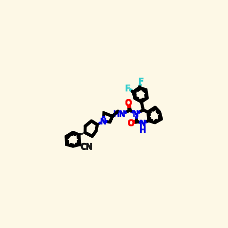 N#Cc1ccccc1[C@H]1CC[C@H](N2CC(CNC(=O)N3C(=O)Nc4ccccc4C3c3ccc(F)c(F)c3)C2)CC1